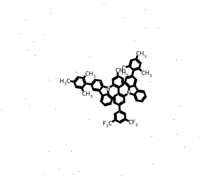 Cc1cc(C)c(-c2ccc3c(c2)c2ccccc2n3-c2cc(C#N)ccc2-c2ccc(-c3cc(C(F)(F)F)cc(C(F)(F)F)c3)cc2-n2c3ccccc3c3cc(-c4c(C)cc(C)cc4C)ccc32)c(C)c1